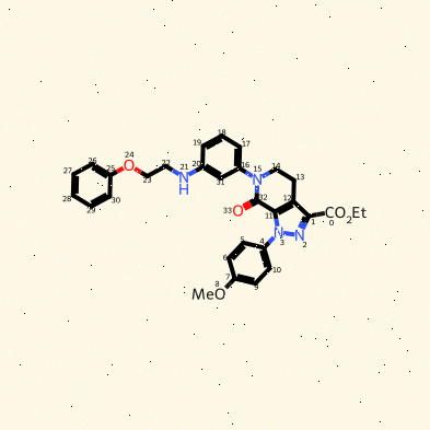 CCOC(=O)c1nn(-c2ccc(OC)cc2)c2c1CCN(c1cccc(NCCOc3ccccc3)c1)C2=O